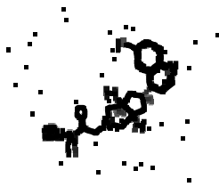 CC(C)(C)NC(=O)CN1C[C@H]2C[C@@H](c3ccnc4ccc(F)cc34)C[C@H]2C1